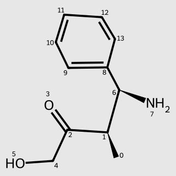 C[C@@H](C(=O)CO)[C@H](N)c1ccccc1